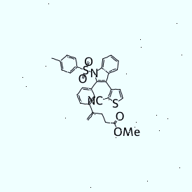 C=C(CCC(=O)OC)c1cccc(-c2c(-c3ccsc3C#N)c3ccccc3n2S(=O)(=O)c2ccc(C)cc2)c1